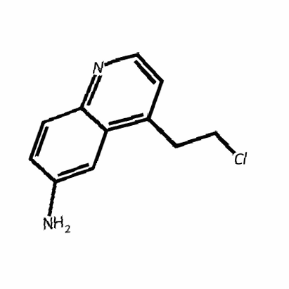 Nc1ccc2nccc(CCCl)c2c1